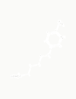 CCCCCCCCCCCOc1ccc(C)nc1